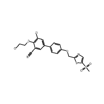 CS(=O)(=O)c1cnc(COc2ccc(-c3cc(Cl)c(OCCCl)c(C#N)c3)cc2)s1